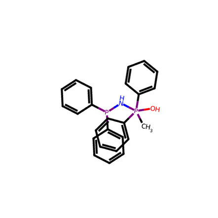 CP(O)(NP(c1ccccc1)c1ccccc1)(c1ccccc1)c1ccccc1